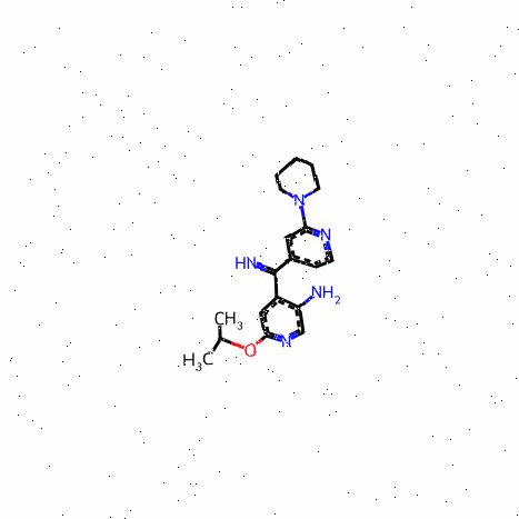 CC(C)Oc1cc(C(=N)c2ccnc(N3CCCCC3)c2)c(N)cn1